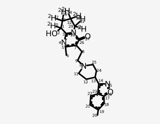 [2H]C1(O)c2nc(C)c(CCN3CCC(c4noc5cc(C)ccc45)CC3)c(=O)n2C([2H])([2H])C([2H])([2H])C1([2H])[2H]